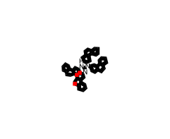 c1ccc2c(c1)ccc1ccc(N=C(Nc3ccc4ccc5ccccc5c4c3)N(c3ccc4ccc5ccccc5c4c3)c3ccc4ccc5ccccc5c4c3)cc12